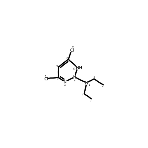 CCN(CC)N1N=C(Cl)C=C(Cl)N1